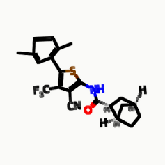 Cc1ccc(C)c(-c2sc(NC(=O)[C@@H]3C[C@H]4CC[C@@H]3C4)c(C#N)c2C(F)(F)F)c1